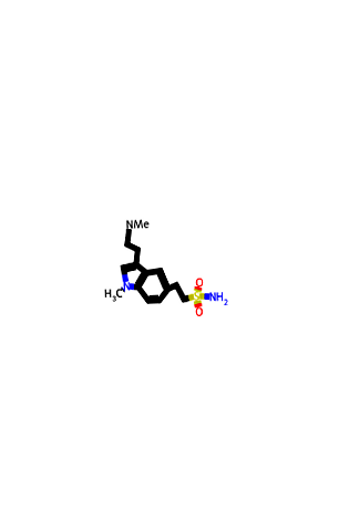 CNCCc1cn(C)c2ccc(CCS(N)(=O)=O)cc12